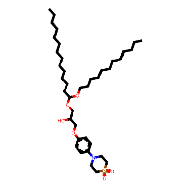 CCCCCCCCCCCCCC(OCCCCCCCCCCCC)OCC(O)COc1ccc(N2CCS(=O)(=O)CC2)cc1